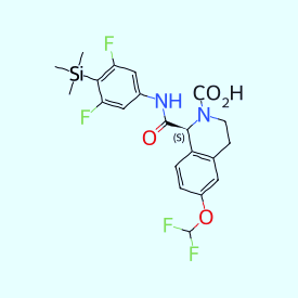 C[Si](C)(C)c1c(F)cc(NC(=O)[C@@H]2c3ccc(OC(F)F)cc3CCN2C(=O)O)cc1F